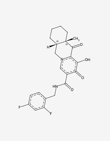 C[C@]12CCCC[C@H]1Cn1cc(C(=O)NCc3ccc(F)cc3F)c(=O)c(O)c1C2=O